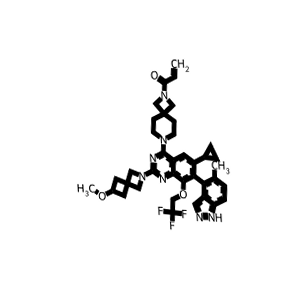 C=CC(=O)N1CC2(CCN(c3nc(N4CC5(CC(OC)C5)C4)nc4c(OCC(F)(F)F)c(-c5c(C)ccc6[nH]ncc56)c(C5CC5)cc34)CC2)C1